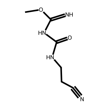 COC(=N)NC(=O)NCCC#N